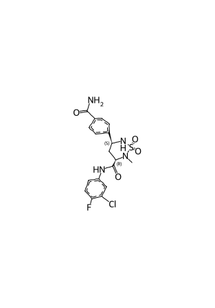 CN1[C@@H](C(=O)Nc2ccc(F)c(Cl)c2)C[C@@H](c2ccc(C(N)=O)cc2)NS1(=O)=O